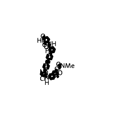 CNC(=O)COc1cc2cc(Nc3nc(N4CCN(C(C)(C)C5CCN(c6cccc(C(=O)NC7CCC(=O)NC7=O)c6F)CC5)CC4)ncc3Cl)ccc2n(C)c1=O